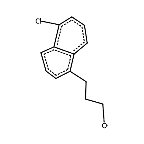 [O]CCCc1cccc2c(Cl)cccc12